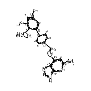 COc1c(F)cc(F)cc1-c1ccc(COc2cc(N)nc3[nH]nnc23)cc1